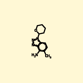 Cc1ccc2c(nnn2C2CCCCO2)c1N